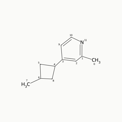 Cc1cc(C2CC(C)C2)ccn1